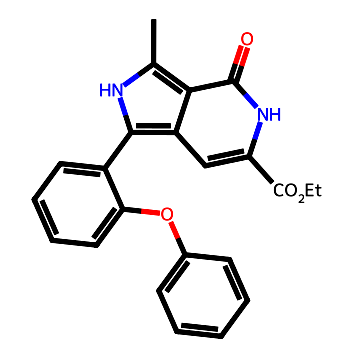 CCOC(=O)c1cc2c(-c3ccccc3Oc3ccccc3)[nH]c(C)c2c(=O)[nH]1